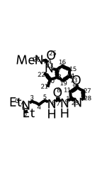 CCN(CC)CCCNC(=O)Nc1cc(Oc2ccc3c(c2)c(C)cn3C(=O)NC)ccn1